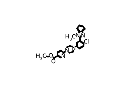 CCOC(=O)c1ccc(N2CCN(c3ccc(Cl)c(-c4nc5ccccc5n4C)c3)CC2)nc1